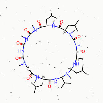 CC(C)CC1C(=O)N(C)C(=O)N(C)C(=O)NC(=O)N(C)CC(=O)N(C)[C@@H](CC(C)C)C(=O)NC(C(C)C)N(C)[C@H](CC(C)C)N[C@H](C)C(=O)NC(=O)N(C)[C@H](CC(C)C)C(=O)N1C